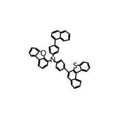 c1ccc2c(-c3ccc(N(c4ccc(-c5cc6ccccc6c6c5sc5ccccc56)cc4)c4cccc5c4oc4ccccc45)cc3)cccc2c1